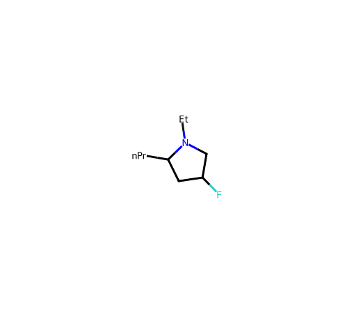 CCCC1CC(F)CN1CC